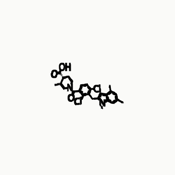 Cc1cc(C)c2cc(Cc3c(Cl)ccc(C(=O)N4CC[C@@H](C(=O)O)[C@H](C)C4)c3Cl)n(C)c2c1